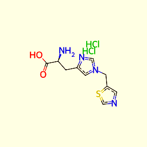 Cl.Cl.N[C@@H](Cc1cn(Cc2cncs2)cn1)C(=O)O